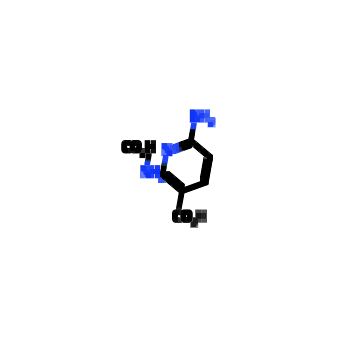 NC(=O)O.Nc1ccc(C(=O)O)cn1